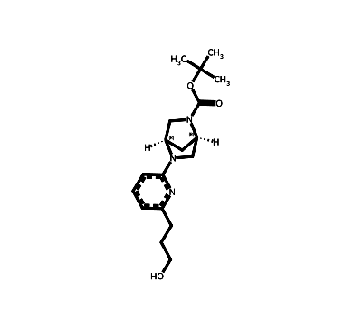 CC(C)(C)OC(=O)N1C[C@H]2C[C@@H]1CN2c1cccc(CCCO)n1